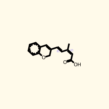 CC(=C/C(=O)O)/C=C/C1=Cc2ccccc2OC1